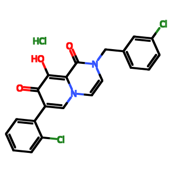 Cl.O=c1c(-c2ccccc2Cl)cn2ccn(Cc3cccc(Cl)c3)c(=O)c2c1O